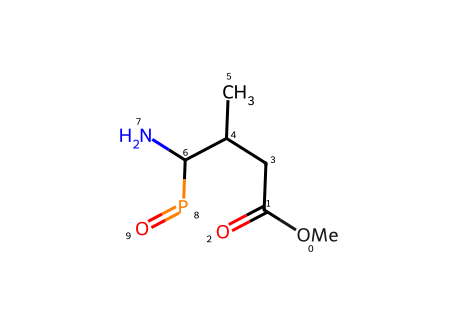 COC(=O)CC(C)C(N)P=O